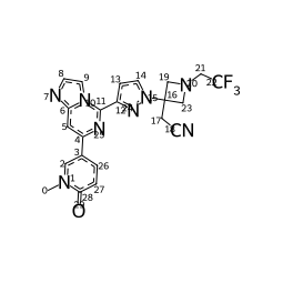 Cn1cc(-c2cc3nccn3c(-c3ccn(C4(CC#N)CN(CC(F)(F)F)C4)n3)n2)ccc1=O